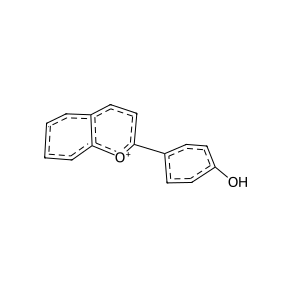 Oc1ccc(-c2ccc3ccccc3[o+]2)cc1